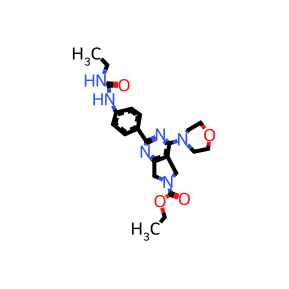 CCNC(=O)Nc1ccc(-c2nc3c(c(N4CCOCC4)n2)CN(C(=O)OCC)C3)cc1